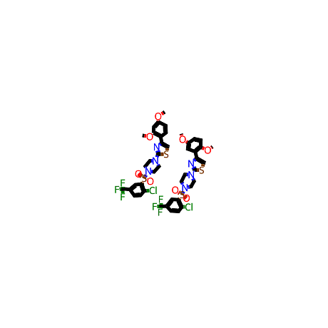 COc1ccc(-c2csc(N3CCN(S(=O)(=O)c4cc(C(F)(F)F)ccc4Cl)CC3)n2)c(OC)c1.COc1ccc(OC)c(-c2csc(N3CCN(S(=O)(=O)c4cc(C(F)(F)F)ccc4Cl)CC3)n2)c1